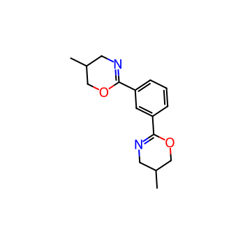 CC1CN=C(c2cccc(C3=NCC(C)CO3)c2)OC1